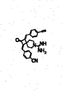 C#Cc1ccc(/C=C2/C(=O)/C(=C/c3ccc(C#N)cc3)C23CCN(C(=N)N)CC3)cc1